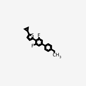 CCc1ccc(-c2cc(F)c(-c3ccc(C4CC4)s3)c(F)c2)cc1